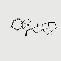 CC1(NC(=O)CN2C3CC[C@@H]2C[C@@H](CNC(=O)c2cccc(F)c2)C3)COC1